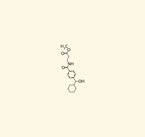 COC(=O)CCNC(=O)c1ccc(C(O)C2CCCCC2)cc1